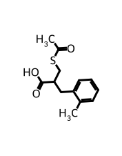 CC(=O)SCC(Cc1ccccc1C)C(=O)O